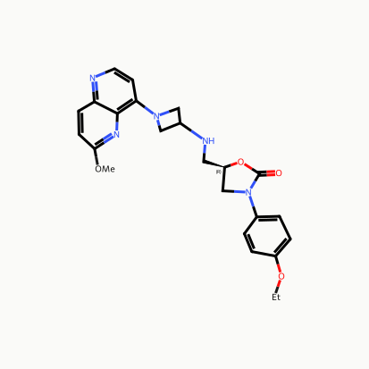 CCOc1ccc(N2C[C@@H](CNC3CN(c4ccnc5ccc(OC)nc45)C3)OC2=O)cc1